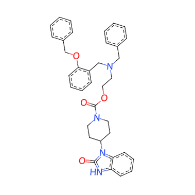 O=C(OCCN(Cc1ccccc1)Cc1ccccc1OCc1ccccc1)N1CCC(n2c(=O)[nH]c3ccccc32)CC1